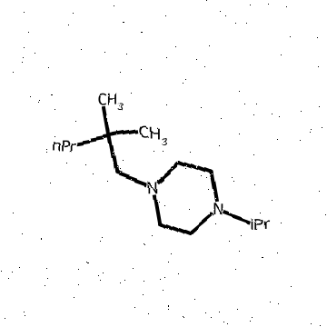 CCCC(C)(C)CN1CCN(C(C)C)CC1